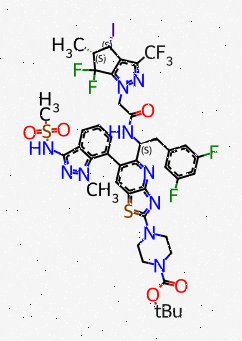 C[C@@H]1[C@H](I)c2c(C(F)(F)F)nn(CC(=O)N[C@@H](Cc3cc(F)cc(F)c3)c3nc4nc(N5CCN(C(=O)OC(C)(C)C)CC5)sc4cc3-c3cccc4c(NS(C)(=O)=O)nn(C)c34)c2C1(F)F